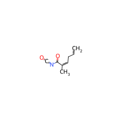 C=CCC=C(C)C(=O)N=C=O